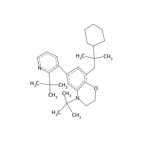 CC(C)(C)c1ncccc1-c1cc(CC(C)(C)C2CCCCC2)c2c(c1)N(C(C)(C)C)CCO2